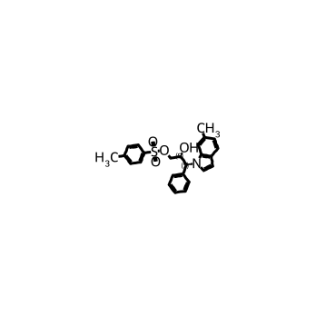 Cc1ccc(S(=O)(=O)OC[C@@H](O)[C@H](c2ccccc2)n2ccc3ccc(C)cc32)cc1